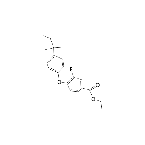 CCOC(=O)c1ccc(Oc2ccc(C(C)(C)CC)cc2)c(F)c1